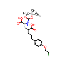 CC(C)(C)OC(=O)N[C@H](C[C@H](CCCc1ccc(OCCF)cc1)C(=O)O)C(=O)O